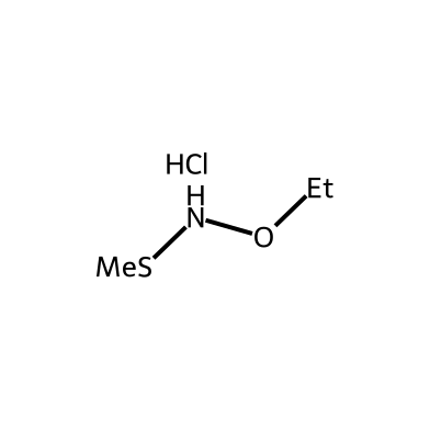 CCONSC.Cl